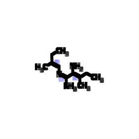 CC/C(C)=C(N)/C(N)=N\C=C(/C)CC